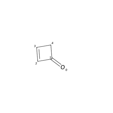 O=C1C=CC1